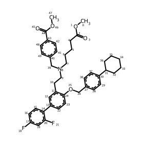 COC(=O)CCCCN(CCc1cc(-c2ccc(F)cc2F)ccc1OCc1ccc(C2CCCCC2)cc1)Cc1ccc(C(=O)OC)cc1